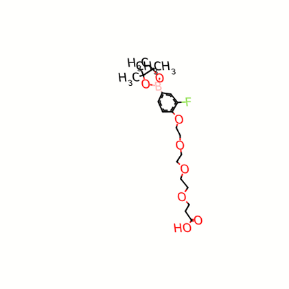 CC1(C)OB(c2ccc(OCCOCCOCCOCCC(=O)O)c(F)c2)OC1(C)C